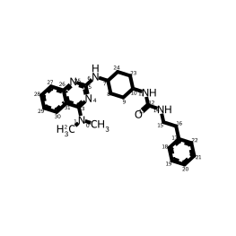 CN(C)c1nc(NC2CCC(NC(=O)NCCc3ccccc3)CC2)nc2ccccc12